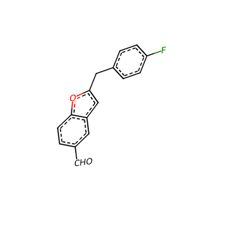 O=Cc1ccc2oc(Cc3ccc(F)cc3)cc2c1